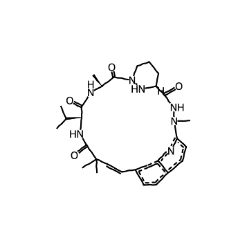 CC(C)[C@@H]1NC(=O)C(C)(C)/C=C/c2ccc3ccc(nc3c2)N(C)NC(=O)[C@@H]2CCCN(N2)C(=O)[C@H](C)NC1=O